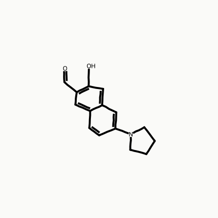 O=Cc1cc2ccc(N3CCCC3)cc2cc1O